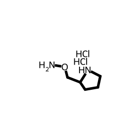 Cl.Cl.NOCC1CCCN1